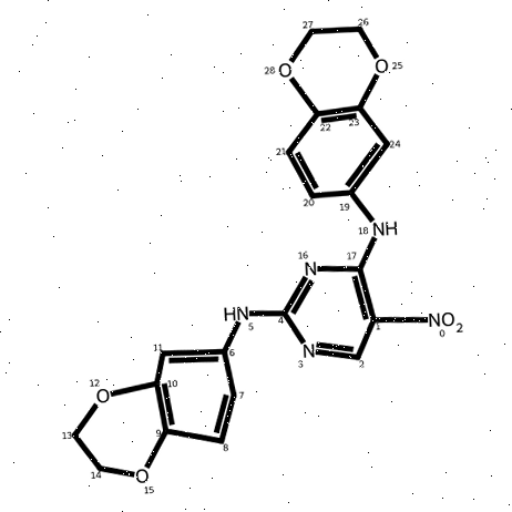 O=[N+]([O-])c1cnc(Nc2ccc3c(c2)OCCO3)nc1Nc1ccc2c(c1)OCCO2